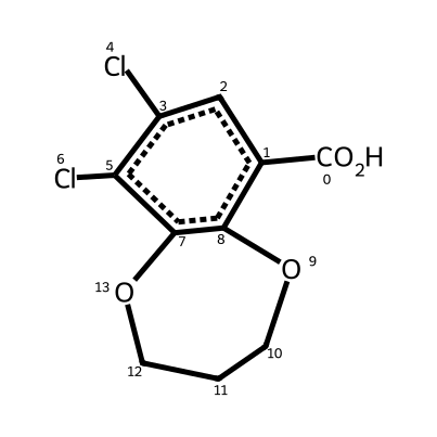 O=C(O)c1cc(Cl)c(Cl)c2c1OCCCO2